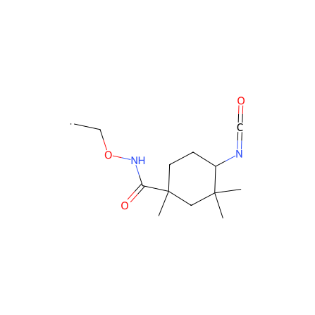 [CH2]CONC(=O)C1(C)CCC(N=C=O)C(C)(C)C1